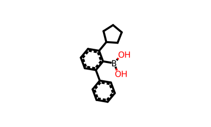 OB(O)c1c(-c2ccccc2)cccc1C1CCCC1